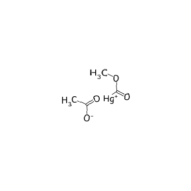 CC(=O)[O-].CO[C](=O)[Hg+]